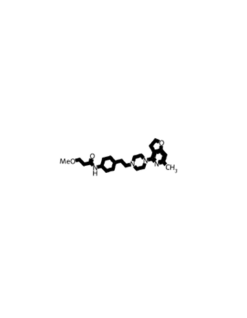 COCCC(=O)NC1CCC(CCN2CCN(c3nc(C)cc4c3CCO4)CC2)CC1